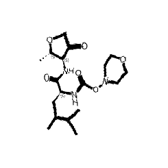 CC(C)C(C)C[C@H](NC(=O)ON1CCOCC1)C(=O)N[C@@H]1C(=O)CO[C@H]1C